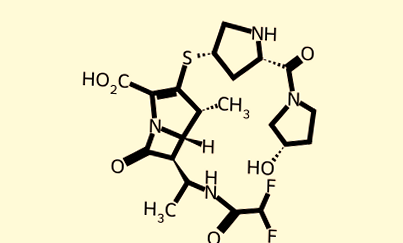 CC(NC(=O)C(F)F)[C@H]1C(=O)N2C(C(=O)O)=C(S[C@@H]3CN[C@H](C(=O)N4CC[C@H](O)C4)C3)[C@H](C)[C@H]12